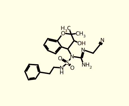 CC1(C)Oc2ccccc2C(N(C(N)=NCC#N)S(=O)(=O)NCCc2ccccc2)C1O